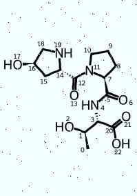 C[C@@H](O)[C@H](NC(=O)[C@@H]1CCCN1C(=O)[C@@H]1C[C@@H](O)CN1)C(=O)O